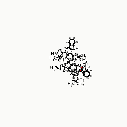 CCOP(=O)(CN(CCN(CC(=O)OC(C)(C)C)[C@@H](Cc1c[nH]c2ccccc12)C(=O)OC(C)(C)C)CCN(CC(=O)OC(C)(C)C)[C@@H](Cc1c[nH]c2ccccc12)C(=O)OC(C)(C)C)OCC